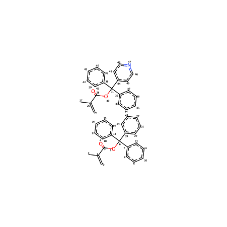 C=C(C)C(=O)OC(c1ccccc1)(c1ccccc1)c1ccccc1.C=C(C)C(=O)OC(c1ccccc1)(c1ccccc1)c1ccncc1